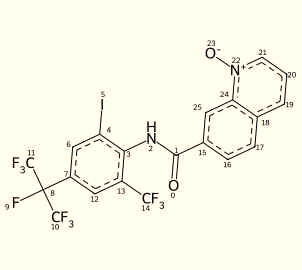 O=C(Nc1c(I)cc(C(F)(C(F)(F)F)C(F)(F)F)cc1C(F)(F)F)c1ccc2ccc[n+]([O-])c2c1